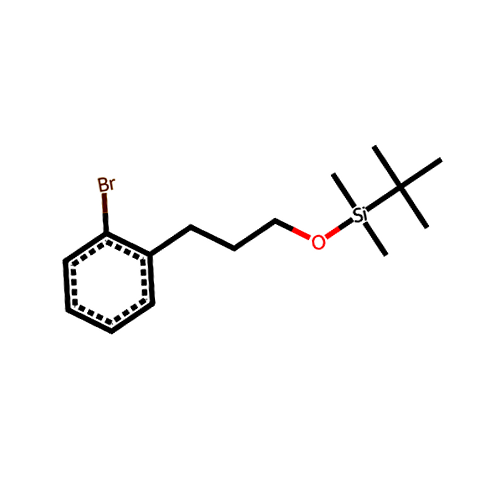 CC(C)(C)[Si](C)(C)OCCCc1ccccc1Br